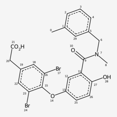 Cc1cccc(CN(C)C(=O)c2cc(Oc3c(Br)cc(CC(=O)O)cc3Br)ccc2O)c1